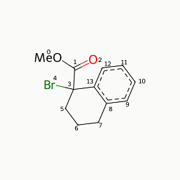 COC(=O)C1(Br)CCCc2ccccc21